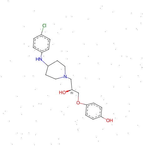 Oc1ccc(OC[C@@H](O)CN2CCC(Nc3ccc(Cl)cc3)CC2)cc1